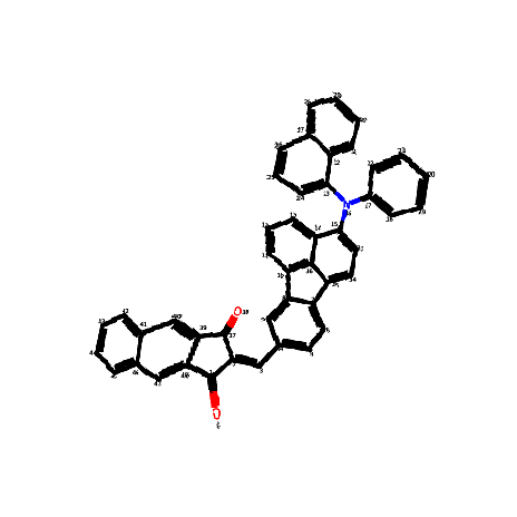 O=C1C(=Cc2ccc3c(c2)-c2cccc4c(N(c5ccccc5)c5cccc6ccccc56)ccc-3c24)C(=O)c2cc3ccccc3cc21